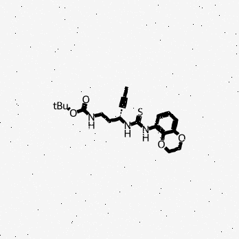 CC#C[C@@H](CCNC(=O)OC(C)(C)C)NC(=S)Nc1cccc2c1OCCO2